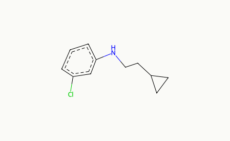 Clc1cccc(NCCC2CC2)c1